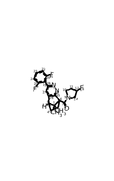 CC1(C)[C@@H]2CCC1(C(=O)N1CCC(F)C1)c1nnc(-c3c(F)cccc3F)cc12